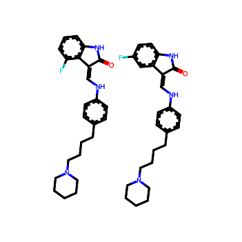 O=C1Nc2ccc(F)cc2C1=CNc1ccc(CCCCN2CCCCC2)cc1.O=C1Nc2cccc(F)c2C1=CNc1ccc(CCCCN2CCCCC2)cc1